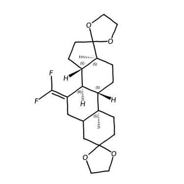 C[C@]12CCC3(CC1CC(=C(F)F)[C@@H]1[C@@H]2CC[C@@]2(C)[C@H]1CCC21OCCO1)OCCO3